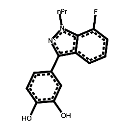 CCCn1nc(-c2ccc(O)c(O)c2)c2cccc(F)c21